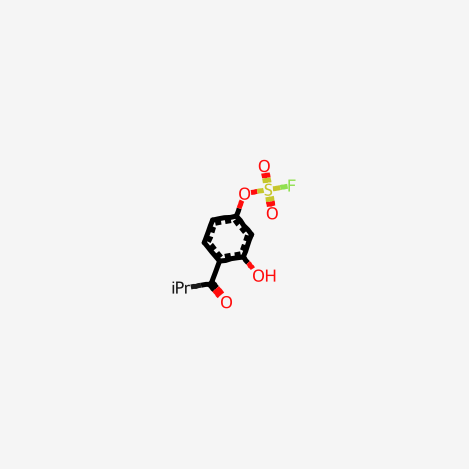 CC(C)C(=O)c1ccc(OS(=O)(=O)F)cc1O